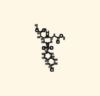 COC(=O)CC1CN(S(=O)(=O)c2ccc3cc(Cl)ccc3c2)CC(CC(=O)OC)N1